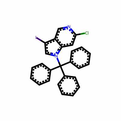 Clc1cc2c(cn1)c(I)cn2C(c1ccccc1)(c1ccccc1)c1ccccc1